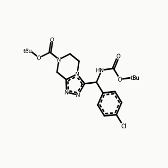 CC(C)(C)OC(=O)NC(c1ccc(Cl)cc1)c1nnc2n1CCN(C(=O)OC(C)(C)C)C2